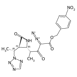 CC(C(=O)C(=[N+]=[N-])C(=O)OCc1ccc([N+](=O)[O-])cc1)[C@H]1NC(=O)[C@@H]1[C@@H](C)n1ncnn1